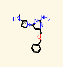 CN[C@@H]1CCN(c2cc(COCc3ccccc3)nc(N)n2)C1